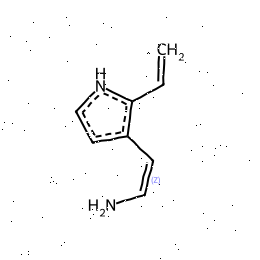 C=Cc1[nH]ccc1/C=C\N